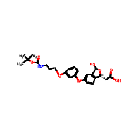 CC(C)(C)OC(=O)NCCCOc1cccc(Oc2ccc3c(c2)B(O)O[C@@H]3CC(=O)O)c1